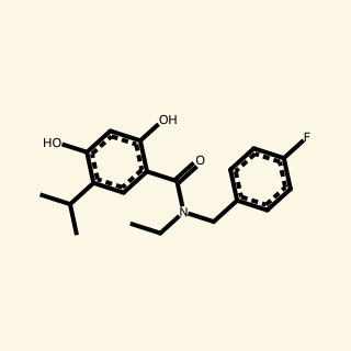 CCN(Cc1ccc(F)cc1)C(=O)c1cc(C(C)C)c(O)cc1O